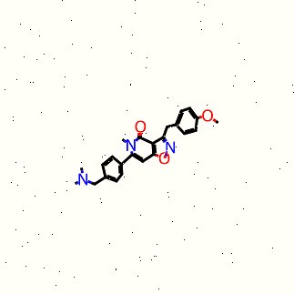 COc1ccc(Cc2noc3cc(-c4ccc(CN(C)C)cc4)n(C)c(=O)c23)cc1